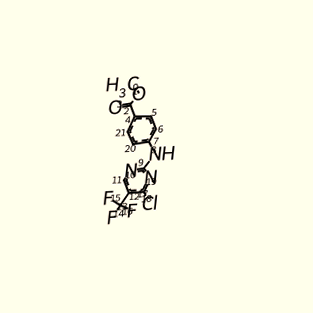 COC(=O)c1ccc(Nc2ncc(C(F)(F)F)c(Cl)n2)cc1